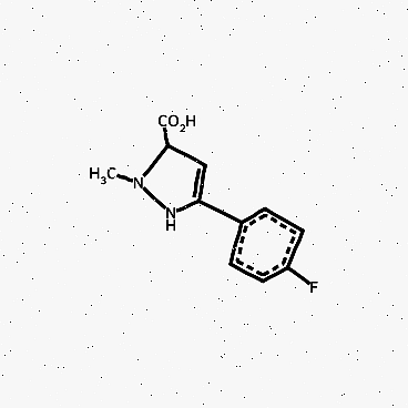 CN1NC(c2ccc(F)cc2)=CC1C(=O)O